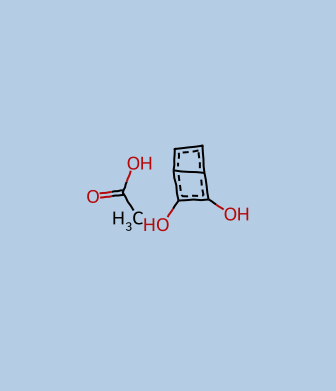 CC(=O)O.Oc1c2ccc-2c1O